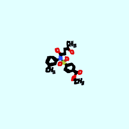 COC(=O)c1ccc(S(=O)(=O)N(C(=O)CCC(C)=O)c2cccc(C)c2)cc1